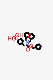 O=C(OCc1ccccc1)[C@H](Cc1ccc(B(O)O)cc1)N(Cc1ccccc1)Cc1ccccc1